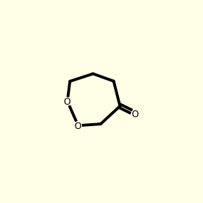 O=C1CCCOOC1